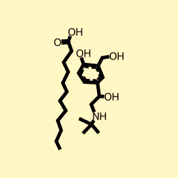 CC(C)(C)NCC(O)c1ccc(O)c(CO)c1.CCCCCCCCCCCC(=O)O